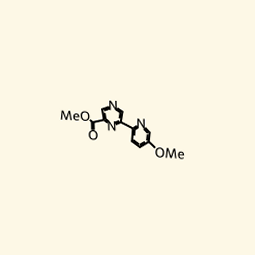 COC(=O)c1cncc(-c2ccc(OC)cn2)n1